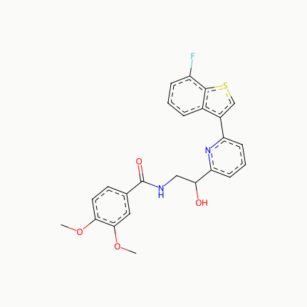 COc1ccc(C(=O)NCC(O)c2cccc(-c3csc4c(F)cccc34)n2)cc1OC